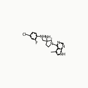 Cc1c[nH]c2ncnc(N3CCC(N)(CNc4ccc(Cl)cc4F)C3)c12